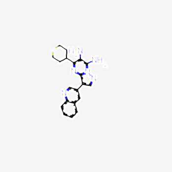 Nc1c(C2CCSCC2)nc2c(-c3cnc4ccccc4c3)cnn2c1N